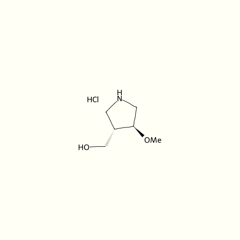 CO[C@@H]1CNC[C@H]1CO.Cl